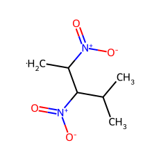 [CH2]C(C(C(C)C)[N+](=O)[O-])[N+](=O)[O-]